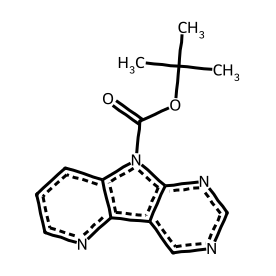 CC(C)(C)OC(=O)n1c2cccnc2c2cncnc21